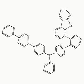 c1ccc(-c2ccc(-c3ccc(N(c4ccccc4)c4ccc(-c5ccccc5-c5cccc6c5oc5ccccc56)cc4)cc3)cc2)cc1